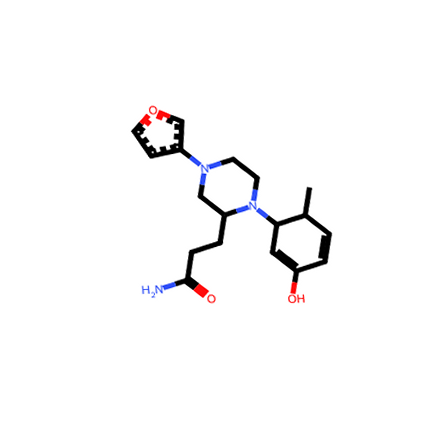 CC1C=CC(O)=CC1N1CCN(c2ccoc2)CC1CCC(N)=O